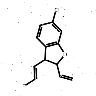 C=CC1Oc2cc(Cl)ccc2C1/C=C/F